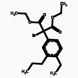 CCCc1cc(C(Br)(C(=O)OCC)C(=O)OCC)ccc1CC